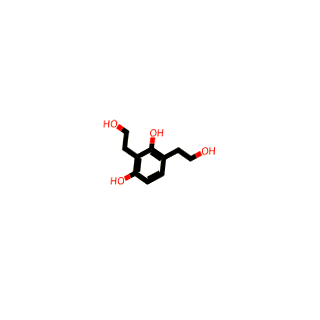 OCCc1ccc(O)c(CCO)c1O